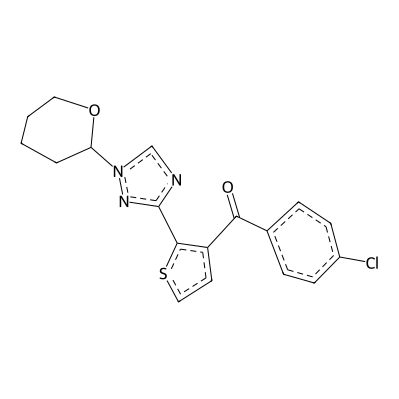 O=C(c1ccc(Cl)cc1)c1ccsc1-c1ncn(C2CCCCO2)n1